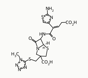 Cn1nnnc1SCC1(C(=O)O)CS[C@@H]2C(NC(=O)C(=CCC(=O)O)c3csc(N)n3)C(=O)N2C1